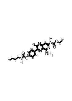 CCCCNC(=O)Oc1ccc(-c2nc3c(N)nc(NC(=O)OCC)cc3nc2C)cc1